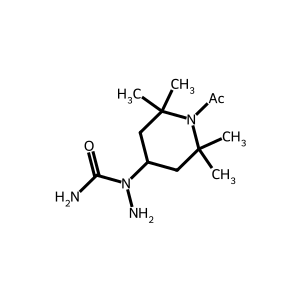 CC(=O)N1C(C)(C)CC(N(N)C(N)=O)CC1(C)C